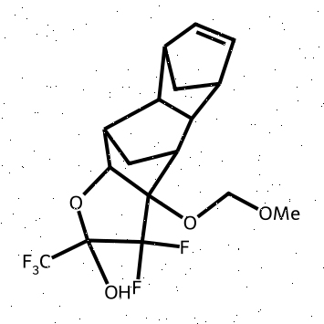 COCOC12C3CC(C4C5C=CC(C5)C43)C1OC(O)(C(F)(F)F)C2(F)F